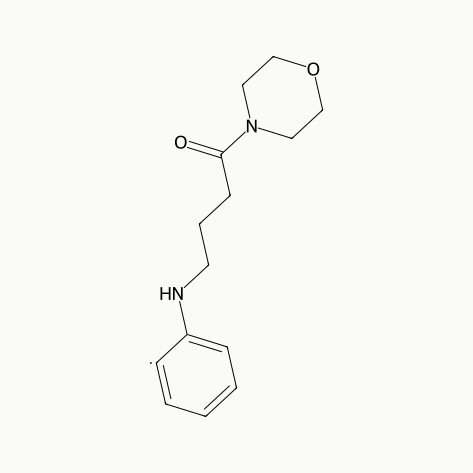 O=C(CCCNc1[c]cccc1)N1CCOCC1